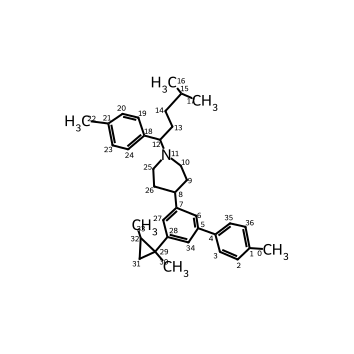 Cc1ccc(-c2cc(C3CCN(C(CCC(C)C)c4ccc(C)cc4)CC3)cc(C3(C)CC3C)c2)cc1